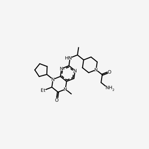 CCC1C(=O)N(C)c2cnc(NC(C)C3CCN(C(=O)CN)CC3)nc2N1C1CCCC1